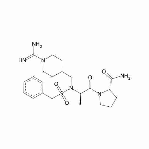 C[C@H](C(=O)N1CCC[C@H]1C(N)=O)N(CC1CCN(C(=N)N)CC1)S(=O)(=O)Cc1ccccc1